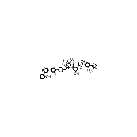 Cc1ncsc1-c1ccc(C(C)NC(=O)[C@@H]2C[C@@H](O)CN2C(=O)C(NC(=O)CN2CCC(c3ccc(-c4cnnc(-c5ccccc5O)c4)cc3F)CC2)C(C)(C)C)cc1